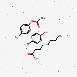 CCCCCCCC(=O)O.CCCCCCCC(=O)Oc1ccc([N+](=O)[O-])cc1.O=[N+]([O-])c1ccc(O)cc1